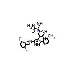 Cc1cccc(N/C(=C\C(=N)NCc2cc(F)ccc2F)C2=C/C(=C(/C=N)C(N)=O)NC=C2)n1